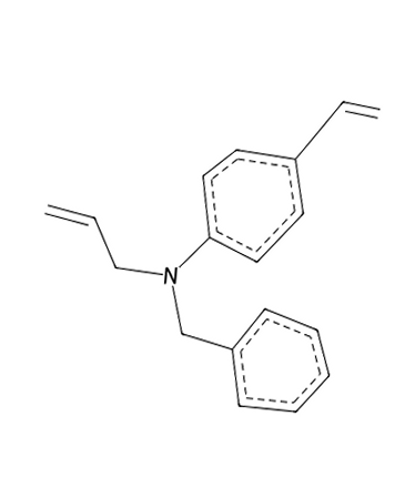 C=CCN(Cc1ccccc1)c1ccc(C=C)cc1